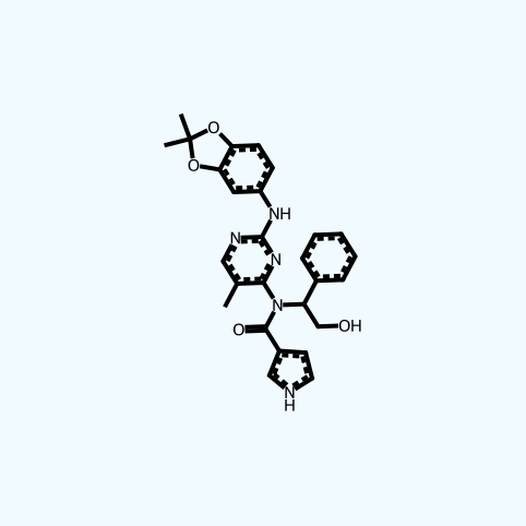 Cc1cnc(Nc2ccc3c(c2)OC(C)(C)O3)nc1N(C(=O)c1cc[nH]c1)C(CO)c1ccccc1